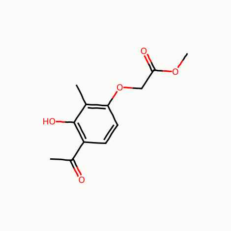 COC(=O)COc1ccc(C(C)=O)c(O)c1C